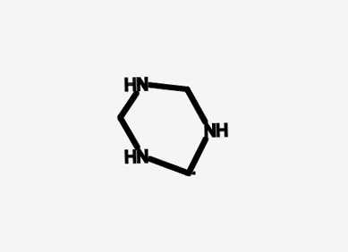 [CH]1NCNCN1